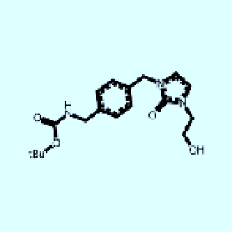 CC(C)(C)OC(=O)NCc1ccc(Cn2ccn(CCO)c2=O)cc1